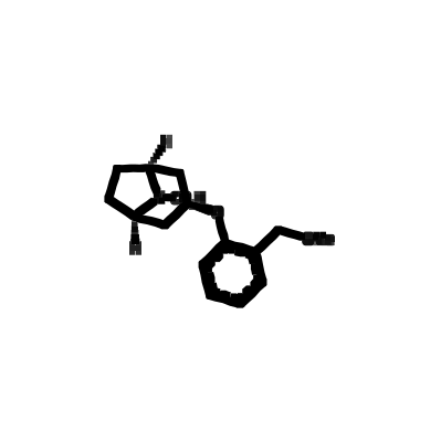 COCc1ccccc1O[C@H]1C[C@H]2CC[C@@H](C1)N2C(=O)O